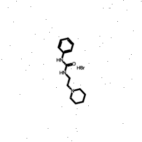 Br.O=C(NCCN1CCCCC1)Nc1ccccc1